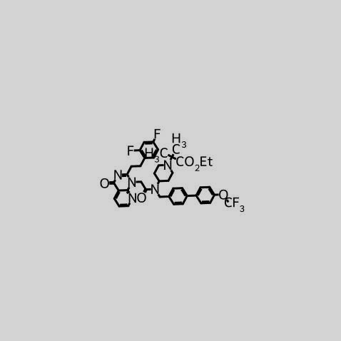 CCOC(=O)C(C)(C)N1CCC(N(Cc2ccc(-c3ccc(OC(F)(F)F)cc3)cc2)C(=O)Cn2c(CCc3ccc(F)cc3F)nc(=O)c3cccnc32)CC1